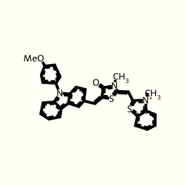 COc1ccc(-n2c3ccccc3c3cc(/C=c4/s/c(=C\c5sc6ccccc6[n+]5C)n(C)c4=O)ccc32)cc1